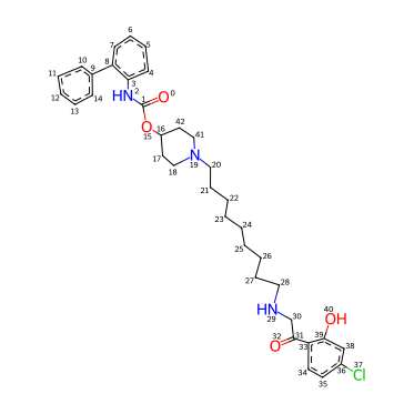 O=C(Nc1ccccc1-c1ccccc1)OC1CCN(CCCCCCCCCNCC(=O)c2ccc(Cl)cc2O)CC1